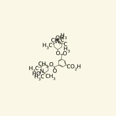 CC1(C)CC(OC(=O)c2cc(C(=O)O)cc(C(=O)OC3CC(C)(C)N(O)C(C)(C)C3)c2)CC(C)(C)N1O